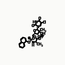 CC(C)OC(=O)[C@@H](C)N[P@](=O)(OC[C@H]1O[C@@H](n2cc(Cl)c(=O)[nH]c2=O)[C@](C)(O)[C@@H]1O)Oc1cccc2ccccc12